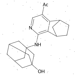 CC(=O)c1cnc(NC23CC4CC(CC(O)(C4)C2)C3)c2c1C1CCC2C1